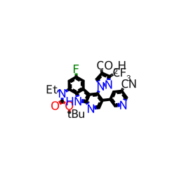 CCN(C(=O)OC(C)(C)C)c1cc(F)cc2c1[nH]c1ncc(-c3cncc(C#N)c3)c(-n3cc(C(=O)O)c(C(F)(F)F)n3)c12